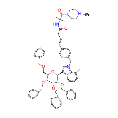 Cc1cccc2c([C@@H]3O[C@H](COCc4ccccc4)[C@@H](OCc4ccccc4)[C@H](OCc4ccccc4)[C@H]3OCc3ccccc3)cn(Cc3ccc(/C=C/CC(=O)NC(C)(C)C(=O)N4CCN(C(C)C)CC4)cc3)c12